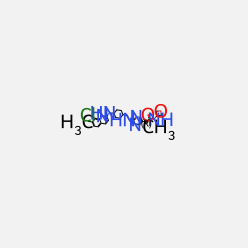 Cc1ccc2ccc(NC3CCC(CNc4ncc([C@@H](C)C(=O)NC5COC5)cn4)CC3)nc2c1Cl